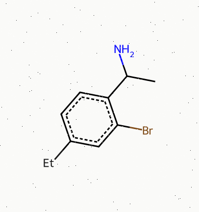 CCc1ccc(C(C)N)c(Br)c1